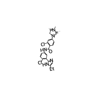 CCc1cnc(-c2cc(NC(=O)c3ccc(N4C[C@@H](C)N(C)[C@@H](C)C4)cc3Cl)ccc2Cl)[nH]1